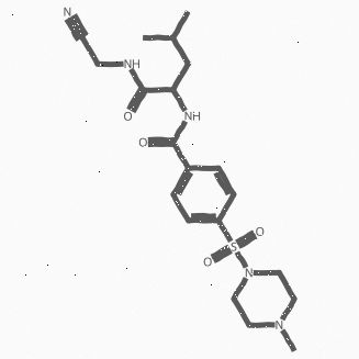 CC(C)CC(NC(=O)c1ccc(S(=O)(=O)N2CCN(C)CC2)cc1)C(=O)NCC#N